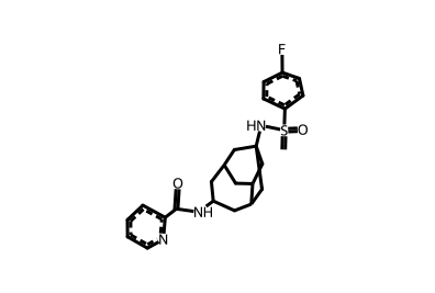 C=S(=O)(NC12CC3CC(NC(=O)c4ccccn4)CC(C1)C(C3)C2)c1ccc(F)cc1